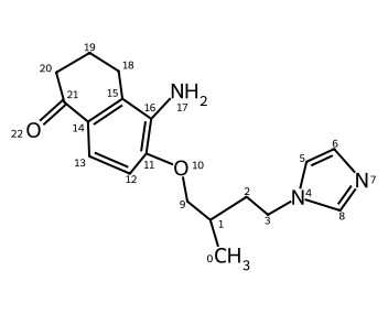 CC(CCn1ccnc1)COc1ccc2c(c1N)CCCC2=O